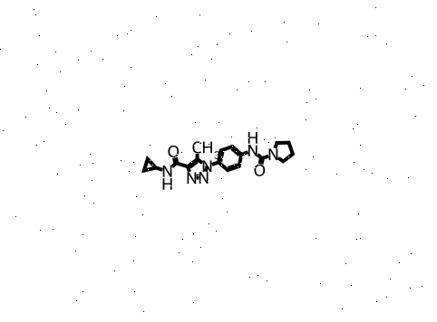 Cc1c(C(=O)NC2CC2)nnn1-c1ccc(NC(=O)N2CCCC2)cc1